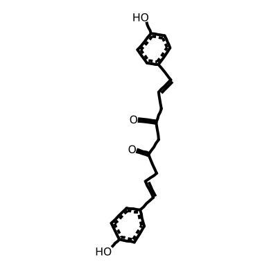 O=C(C/C=C/c1ccc(O)cc1)CC(=O)C/C=C/c1ccc(O)cc1